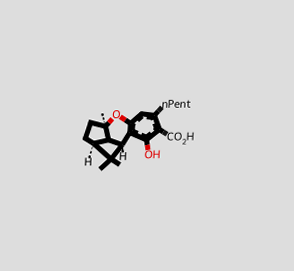 CCCCCc1cc2c(c(O)c1C(=O)O)[C@@H]1C3[C@H](CC[C@@]3(C)O2)C1(C)C